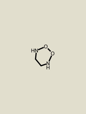 C1CNOON1